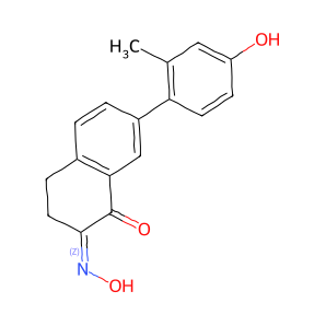 Cc1cc(O)ccc1-c1ccc2c(c1)C(=O)/C(=N\O)CC2